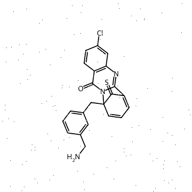 NCc1cccc(CC23C=CC=C(C2=S)c2nc4cc(Cl)ccc4c(=O)n23)c1